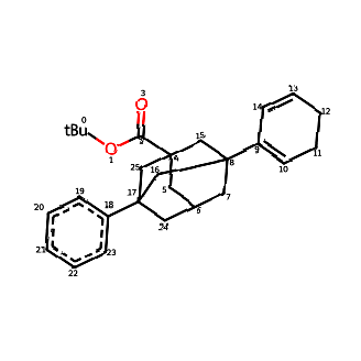 CC(C)(C)OC(=O)C12CC3CC(C4=CCCC=C4)(C1)CC(c1ccccc1)(C3)C2